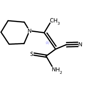 C/C(=C(\C#N)C(N)=S)N1CCCCC1